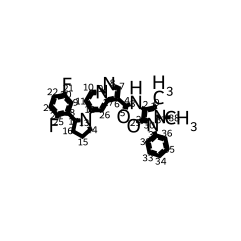 Cc1c(NC(=O)c2cnn3ccc(N4CCCC4c4cc(F)ccc4F)cc23)c(=O)n(-c2ccccc2)n1C